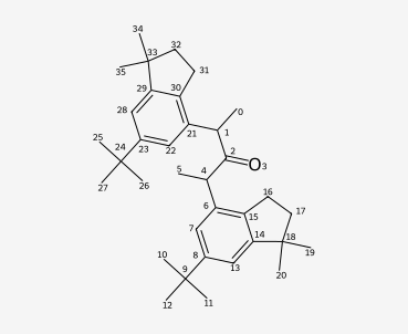 CC(C(=O)C(C)c1cc(C(C)(C)C)cc2c1CCC2(C)C)c1cc(C(C)(C)C)cc2c1CCC2(C)C